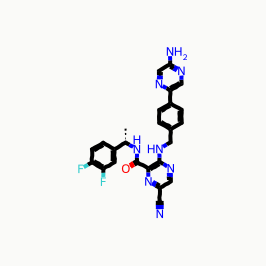 C[C@H](NC(=O)c1nc(C#N)cnc1NCc1ccc(-c2cnc(N)cn2)cc1)c1ccc(F)c(F)c1